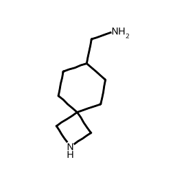 NCC1CCC2(CC1)CNC2